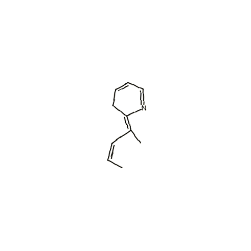 C/C=C\C(C)=C1/CC=CC=N1